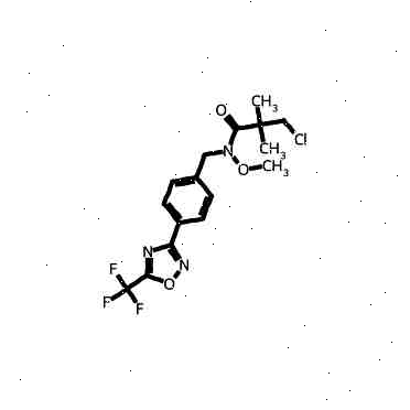 CON(Cc1ccc(-c2noc(C(F)(F)F)n2)cc1)C(=O)C(C)(C)CCl